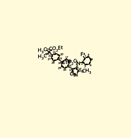 CCOC(=O)N(c1ccccc1F)c1c(C)noc1-c1ccc(-c2ccc(C(C)(C)C(=O)OCC)cc2)cc1